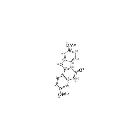 COc1ccc2c(c1)[nH]c(=O)c1c3ccc(OC)cc3oc21